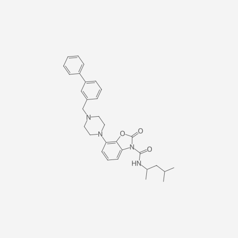 CC(C)CC(C)NC(=O)n1c(=O)oc2c(N3CCN(Cc4cccc(-c5ccccc5)c4)CC3)cccc21